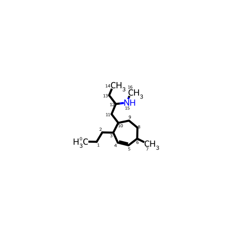 CCCC1C=CC(C)CCC1CC(CC)NC